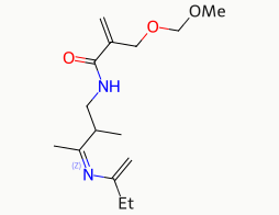 C=C(CC)/N=C(/C)C(C)CNC(=O)C(=C)COCOC